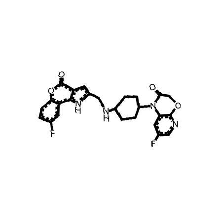 O=C1COc2ncc(F)cc2N1C1CCC(NCc2cc3c(=O)oc4ccc(F)cc4c3[nH]2)CC1